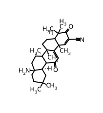 CC1(C)CC[C@]2(N)CC[C@]3(C)C(C(=O)C=C4[C@@]5(C)C=C(C#N)C(=O)C(C)(C)[C@@H]5CC[C@]43C)[C@H]2C1